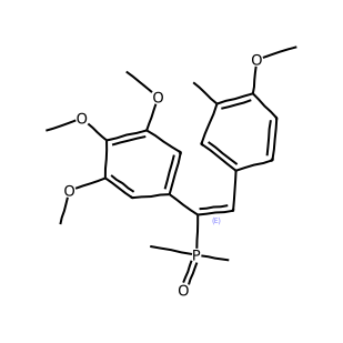 COc1ccc(/C=C(\c2cc(OC)c(OC)c(OC)c2)P(C)(C)=O)cc1C